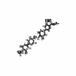 CCCC(O)c1ccc(-c2ccc(COC3CCC(c4ccc(C5CO5)c(F)c4)CC3)c(F)c2F)cc1